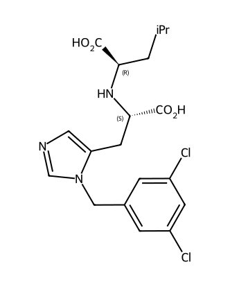 CC(C)C[C@@H](N[C@@H](Cc1cncn1Cc1cc(Cl)cc(Cl)c1)C(=O)O)C(=O)O